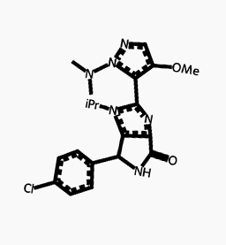 COc1cnn(N(C)C)c1-c1nc2c(n1C(C)C)C(c1ccc(Cl)cc1)NC2=O